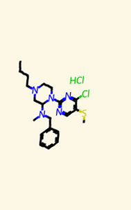 CCCCN1CCN(c2ncc(SC)c(Cl)n2)C(N(C)Cc2ccccc2)C1.Cl